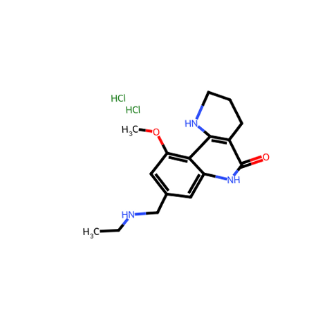 CCNCc1cc(OC)c2c3c(c(=O)[nH]c2c1)CCCN3.Cl.Cl